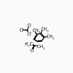 CC(C)=O.Cc1cccc(C)c1C.ClC(Cl)Cl